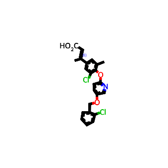 C/C(=C\C(=O)O)c1cc(C)c(Oc2ccc(OCc3ccccc3Cl)cn2)c(Cl)c1